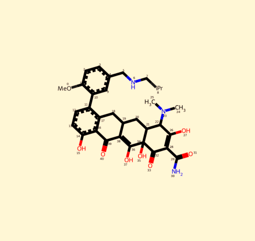 COc1ccc(CNCC(C)C)cc1-c1ccc(O)c2c1CC1CC3C(N(C)C)C(O)=C(C(N)=O)C(=O)C3(O)C(O)=C1C2=O